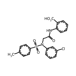 Cc1ccc(S(=O)(=O)N(CC(=O)Nc2ccccc2C(=O)O)c2cccc(Cl)c2)cc1